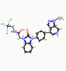 Cn1ncc2c(-c3ccc(-n4c(=O)n(CC(=O)NCC(F)(F)F)c5ccccc54)cc3)cncc21